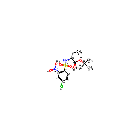 CC[C@@H](NS(=O)(=O)c1ccc(Cl)cc1[N+](=O)[O-])C(=O)OC(C)(C)C